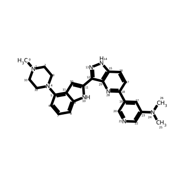 CN1CCN(c2cccc3[nH]c(-c4n[nH]c5ccc(-c6cncc(N(C)C)c6)nc45)cc23)CC1